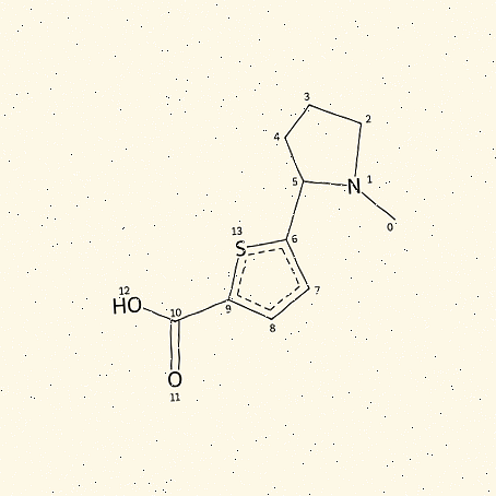 CN1CCCC1c1ccc(C(=O)O)s1